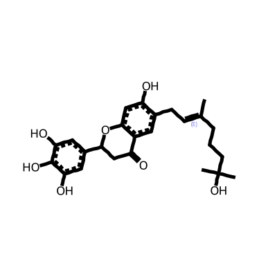 C/C(=C\Cc1cc2c(cc1O)OC(c1cc(O)c(O)c(O)c1)CC2=O)CCCC(C)(C)O